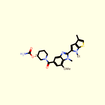 CCn1c(-c2nc3cc(C(=O)N4CCC[C@@H](OC(N)=O)C4)cc(OC)c3n2C)cc2c(C)csc21